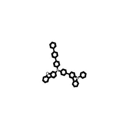 c1ccc(-c2ccc(-c3ccc(N(c4ccc(-c5ccc6c(c5)c5ccccc5n6-c5ccccc5)cc4)c4ccc5c(c4)oc4ccccc45)cc3)cc2)cc1